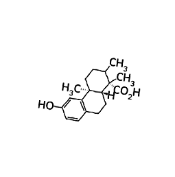 CC1CC[C@]2(C)c3cc(O)ccc3CC[C@H]2[C@@]1(C)C(=O)O